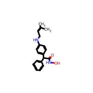 CC(C)=CCNc1ccc(C(C(=O)NO)c2ccccc2)cc1